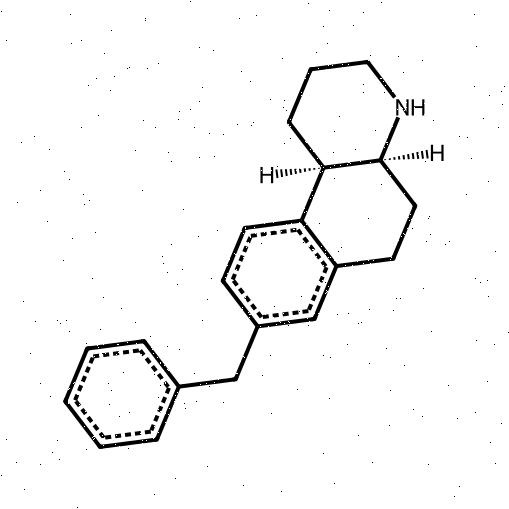 c1ccc(Cc2ccc3c(c2)CC[C@@H]2NCCC[C@H]32)cc1